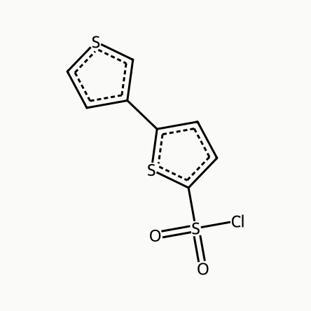 O=S(=O)(Cl)c1ccc(-c2ccsc2)s1